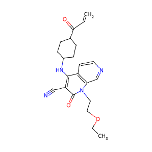 C=CC(=O)C1CCC(Nc2c(C#N)c(=O)n(CCOCC)c3cnccc23)CC1